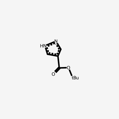 CC(C)(C)OC(=O)c1cn[nH]c1